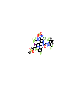 CC(C)(CCc1nc([C@H](Cc2cc(F)cc(F)c2)NC(=O)Cn2nc(C(F)F)c3c2C(F)(F)[C@@H]2C[C@H]32)c(-c2ccc(Cl)c3c(NS(C)(=O)=O)nn(CC(F)(F)F)c23)cc1I)S(=O)(=O)C1CC1